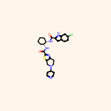 O=C(N[C@H]1CCCC[C@H]1NC(=O)c1nc2c(s1)CN(c1ccncc1)CC2)c1cc2ccc(Cl)cc2[nH]1